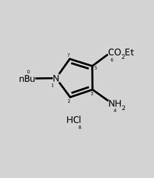 CCCCn1cc(N)c(C(=O)OCC)c1.Cl